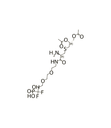 CC(=O)OC[C@H](CSC[C@H](N)C(=O)NCCOCCOCCC(F)(F)P(=O)(O)O)OC(C)=O